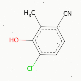 Cc1c(C#N)ccc(Cl)c1O